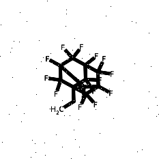 [CH2]CC12C(F)(F)C3(F)C(F)(F)C(F)(C(F)(F)C(F)(C3(F)F)C1(F)F)C2(F)F